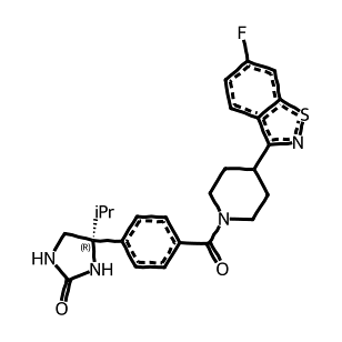 CC(C)[C@@]1(c2ccc(C(=O)N3CCC(c4nsc5cc(F)ccc45)CC3)cc2)CNC(=O)N1